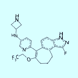 Fc1n[nH]c2ccc3c(c12)CCCC(OCC(F)(F)F)=C3c1ccc(NC2CNC2)cn1